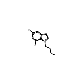 COCCn1ccc2cc(F)cc(C)c21